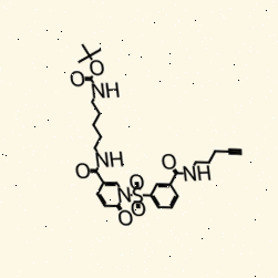 C#CCCCNC(=O)c1cccc(S(=O)(=O)n2cc(C(=O)NCCCCCNC(=O)OC(C)(C)C)ccc2=O)c1